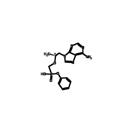 C[C@H](Cn1cnc2c(N)ncnc21)OCP(=O)(O)Oc1ccccc1